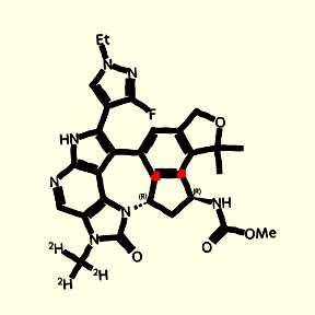 [2H]C([2H])([2H])n1c(=O)n([C@@H]2CC[C@@H](NC(=O)OC)C2)c2c3c(-c4ccc5c(c4)COC5(C)C)c(-c4cn(CC)nc4F)[nH]c3ncc21